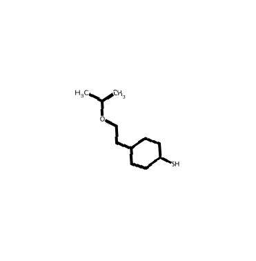 CC(C)OCCC1CCC(S)CC1